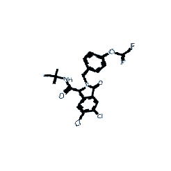 CC(C)(C)NC(=O)C1c2cc(Cl)c(Cl)cc2C(=O)N1Cc1ccc(OC(F)F)cc1